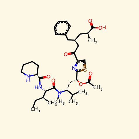 CC[C@H](C)[C@H](NC(=O)[C@H]1CCCCN1)C(=O)N(C)[C@H](C[C@@H](OC(C)=O)c1nc(C(=O)C[C@@H](Cc2ccccc2)C[C@H](C)C(=O)O)cs1)C(C)C